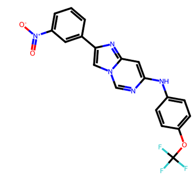 O=[N+]([O-])c1cccc(-c2cn3cnc(Nc4ccc(OC(F)(F)F)cc4)cc3n2)c1